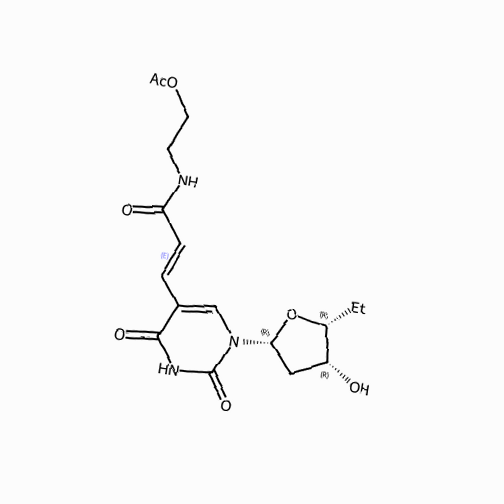 CC[C@H]1O[C@@H](n2cc(/C=C/C(=O)NCCOC(C)=O)c(=O)[nH]c2=O)C[C@H]1O